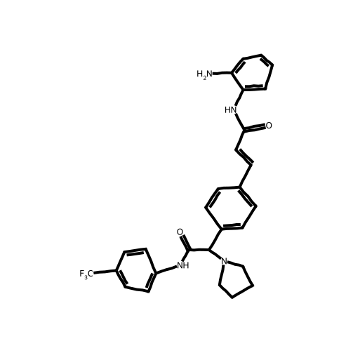 Nc1ccccc1NC(=O)C=Cc1ccc(C(C(=O)Nc2ccc(C(F)(F)F)cc2)N2CCCC2)cc1